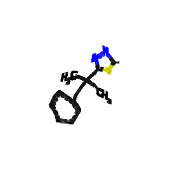 CC(C)(c1ccccc1)c1nn[c]s1